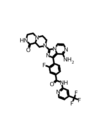 Nc1nccn2c(N3CCN4CCNC(=O)C4C3)nc(-c3ccc(C(=O)Nc4cc(C(F)(F)F)ccn4)cc3F)c12